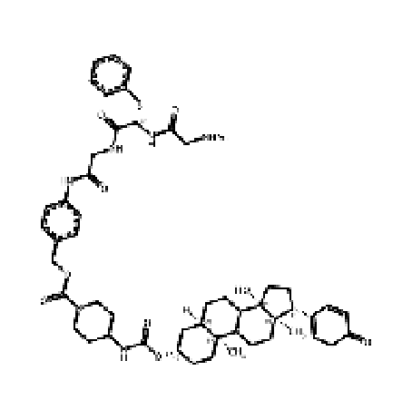 CC(=O)NCC(=O)N[C@@H](Cc1ccccc1)C(=O)NCC(=O)Nc1ccc(COC(=O)N2CCC(NC(=O)O[C@H]3CC[C@]4(C)C5CC[C@]6(C)[C@@H](C7=CCC(=O)C=C7)CC[C@]6(O)C5CC[C@@H]4C3)CC2)cc1